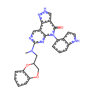 CN(CC1COc2ccccc2O1)c1ncc2c3n[nH]cc3c(=O)n(-c3cccc4[nH]ccc34)c2n1